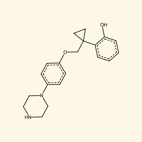 Oc1ccccc1C1(COc2ccc(N3CCNCC3)cc2)CC1